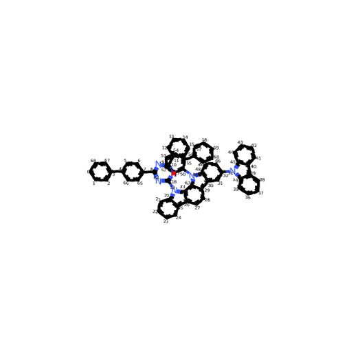 c1ccc(-c2ccc(-c3nc(-c4ccccc4)nc(-n4c5ccccc5c5ccc6c7cc(-n8c9ccccc9c9ccccc98)ccc7n(-c7ccccc7-c7ccccc7)c6c54)n3)cc2)cc1